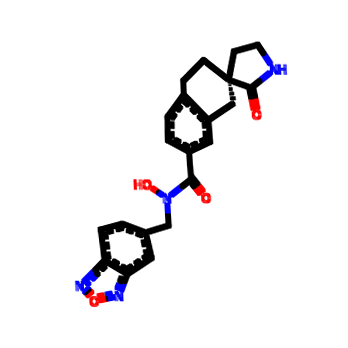 O=C(c1ccc2c(c1)C[C@@]1(CCNC1=O)CC2)N(O)Cc1ccc2nonc2c1